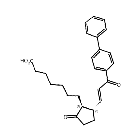 O=C(O)CCCCCC[C@@H]1C(=O)CC[C@H]1C=CC(=O)c1ccc(-c2ccccc2)cc1